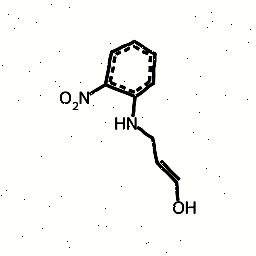 O=[N+]([O-])c1ccccc1NCC=CO